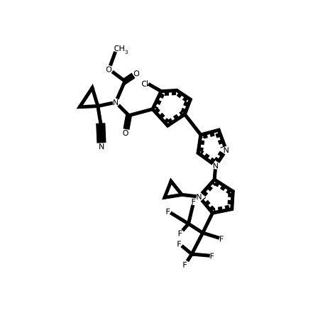 COC(=O)N(C(=O)c1cc(-c2cnn(-c3ccc(C(F)(C(F)(F)F)C(F)(F)F)n3C3CC3)c2)ccc1Cl)C1(C#N)CC1